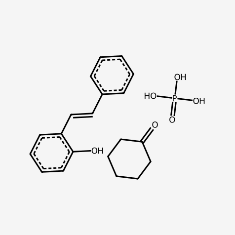 O=C1CCCCC1.O=P(O)(O)O.Oc1ccccc1C=Cc1ccccc1